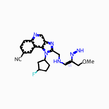 COC/C(=C/NCc1nc2cnc3ccc(C#N)cc3c2n1C1CCC(F)C1)N=N